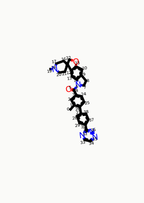 Cc1cc(C(=O)N2CCc3cc4c(cc32)C2(CCN(C)CC2)CO4)ccc1-c1ccc(-c2nccnn2)cc1